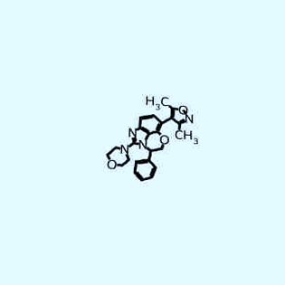 Cc1noc(C)c1-c1ccc2nc(N3CCOCC3)n3c2c1OCC3c1ccccc1